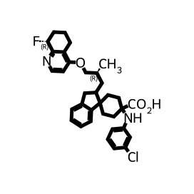 C[C@@H](COc1ccnc2c1CCC[C@H]2F)CC1Cc2ccccc2C12CCC(Nc1cccc(Cl)c1)(C(=O)O)CC2